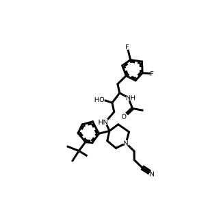 CC(=O)NC(Cc1cc(F)cc(F)c1)C(O)CNC1(c2cccc(C(C)(C)C)c2)CCN(CCC#N)CC1